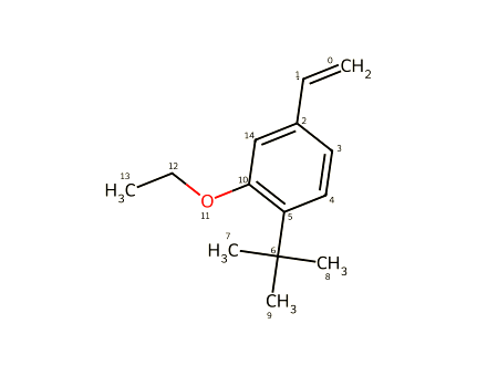 C=[C]c1ccc(C(C)(C)C)c(OCC)c1